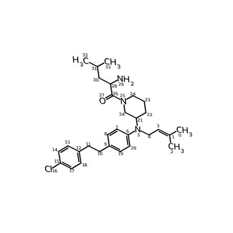 CC(C)=CCN(c1ccc(CCc2ccc(Cl)cc2)cc1)C1CCCN(C(=O)C(N)CC(C)C)C1